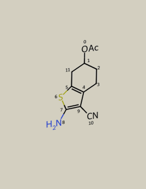 CC(=O)OC1CCc2c(sc(N)c2C#N)C1